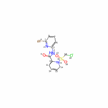 O=C(Nc1cccc(Br)n1)C1CC=CCN1S(=O)(=O)CCl